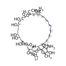 C[C@@H]1OC(=O)CC(O)CC(O)CCC(O)C(O)C[C@H](O)CC2(O)C[C@H](O)C(C(=O)NC3CCC3)[C@H](CC(O[C@@H]3O[C@H](C)[C@@H](O)[C@H](N)[C@@H]3O)/C=C/C=C/C=C/C=C/C=C/C=C/C=C/[C@H](C)C(O)[C@H]1C)O2